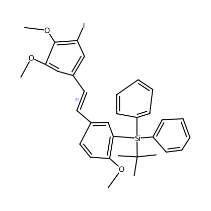 COc1ccc(/C=C/c2cc(I)c(OC)c(OC)c2)cc1[Si](c1ccccc1)(c1ccccc1)C(C)(C)C